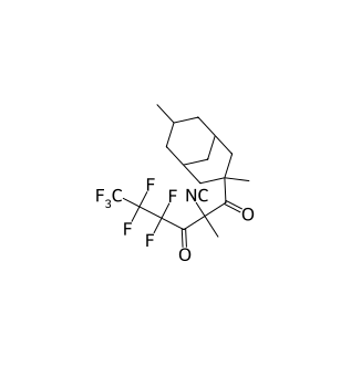 CC1CC2CC(C1)CC(C)(C(=O)C(C)(C#N)C(=O)C(F)(F)C(F)(F)C(F)(F)F)C2